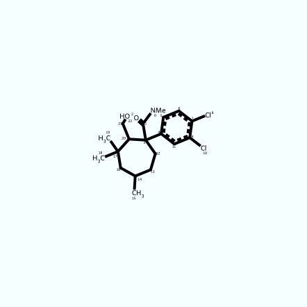 CNC(=O)C1(c2ccc(Cl)c(Cl)c2)CCC(C)CC(C)(C)C1CO